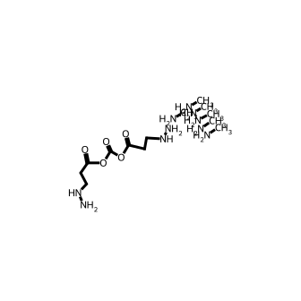 CN.CN.CN.CN.CN.CN.NNCCC(=O)OC(=O)OC(=O)CCNN